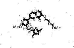 COCOCCOc1cnc2ccc(-c3cnc(OC)c(NS(=O)(=O)c4sc(C)nc4C)c3)cn2c1=O